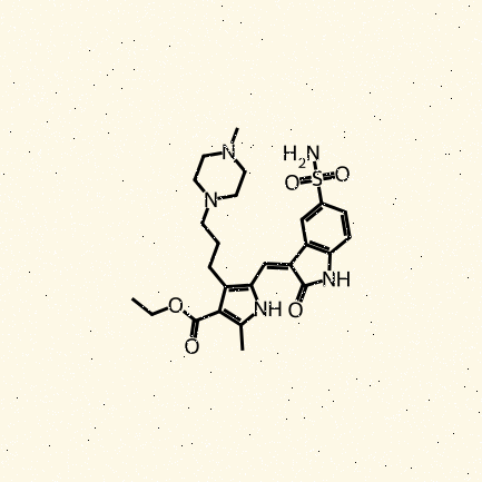 CCOC(=O)c1c(C)[nH]c(/C=C2\C(=O)Nc3ccc(S(N)(=O)=O)cc32)c1CCCN1CCN(C)CC1